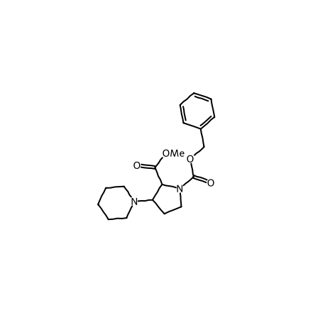 COC(=O)C1C(N2CCCCC2)CCN1C(=O)OCc1ccccc1